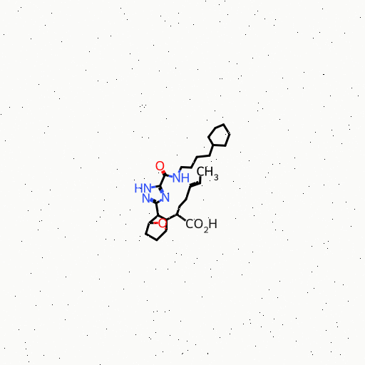 CC=CCCC(C(=O)O)C1C2CCC(O2)C1c1n[nH]c(C(=O)NCCCCC2CCCCC2)n1